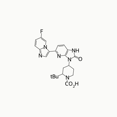 CC(C)(C)C1CC(n2c(=O)[nH]c3ccc(-c4cnc5ccc(F)cn45)nc32)CCN1C(=O)O